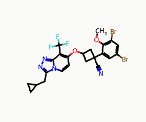 COc1c(Br)cc(Br)cc1C1(C#N)CC(Oc2ccn3c(CC4CC4)nnc3c2C(F)(F)F)C1